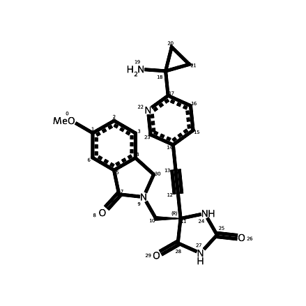 COc1ccc2c(c1)C(=O)N(C[C@@]1(C#Cc3ccc(C4(N)CC4)nc3)NC(=O)NC1=O)C2